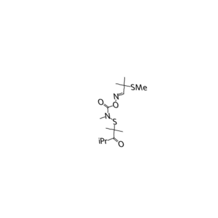 CSC(C)(C)C=NOC(=O)N(C)SC(C)(C)C(=O)C(C)C